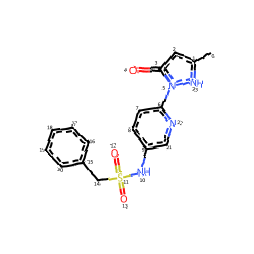 Cc1cc(=O)n(-c2ccc(NS(=O)(=O)Cc3ccccc3)cn2)[nH]1